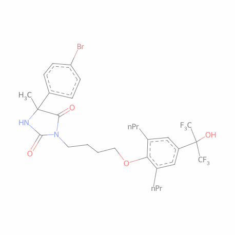 CCCc1cc(C(O)(C(F)(F)F)C(F)(F)F)cc(CCC)c1OCCCCN1C(=O)NC(C)(c2ccc(Br)cc2)C1=O